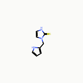 S=c1[nH]ccn1Cc1ccc[nH]1